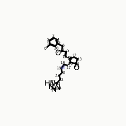 Cc1cccc(CC(=O)C=C[C@H]2CCC(=O)[C@@H]2C/C=C\CCCc2nnn[nH]2)c1